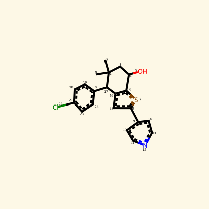 CC1(C)CC(O)c2sc(-c3ccncc3)cc2C1c1ccc(Cl)cc1